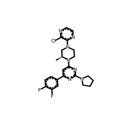 C[C@H]1CN(c2nccnc2Cl)CCN1c1cc(-c2ccc(F)c(F)c2)nc(N2CCCC2)n1